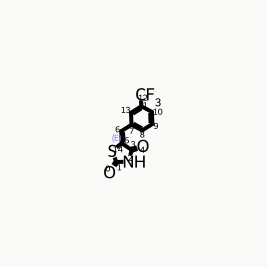 O=C1NC(=O)/C(=C\c2cccc(C(F)(F)F)c2)S1